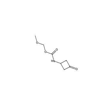 COCOC(=O)NC1CC(=O)C1